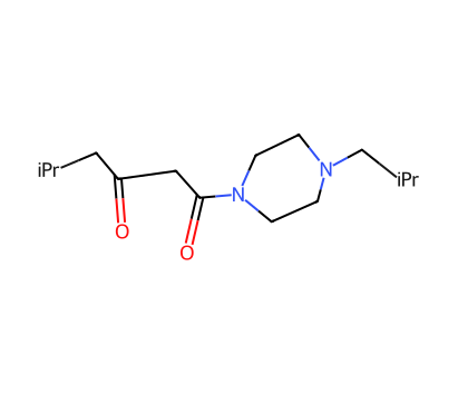 CC(C)CC(=O)CC(=O)N1CCN(CC(C)C)CC1